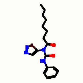 CCCCCCCC(=O)N(C(=O)Nc1ccccc1)c1cnns1